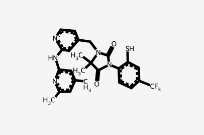 Cc1cc(C)nc(Nc2cc(CN3C(=O)N(c4ccc(C(F)(F)F)cc4S)C(=O)C3(C)C)ccn2)c1